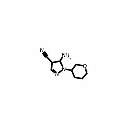 N#CC1C=NN(C2CCCOC2)C1N